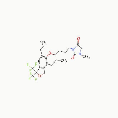 CCCc1cc2c(c(CCC)c1OCCCCN1C(=O)CN(C)C1=O)COC2(C(F)(F)F)C(F)(F)F